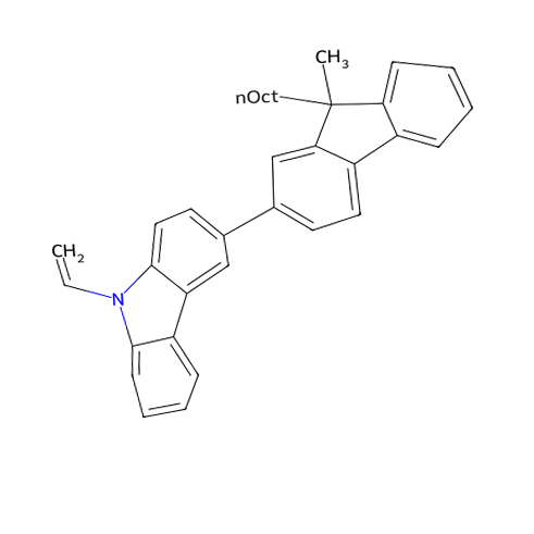 C=Cn1c2ccccc2c2cc(-c3ccc4c(c3)C(C)(CCCCCCCC)c3ccccc3-4)ccc21